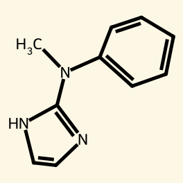 CN(c1ccccc1)c1ncc[nH]1